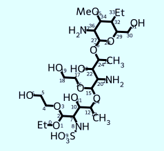 CCOC(OCCO)C(NS(=O)(=O)O)C(O)C(C)OC(OCCO)C(N)C(O)C(C)OC1OC(CO)C(CC)C(OC)C1N